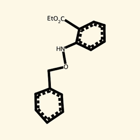 CCOC(=O)c1ccccc1NOCc1ccccc1